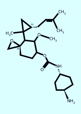 COC1C(OC(=O)N[C@H]2CC[C@H](N)CC2)CC[C@]2(CO2)C1C1(C)C[C@@H]1CC=C(C)C